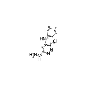 NNc1cc(Nc2ccccc2)c(Cl)nn1